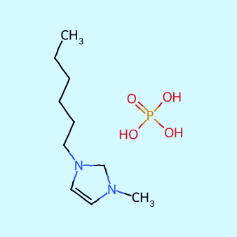 CCCCCCN1C=CN(C)C1.O=P(O)(O)O